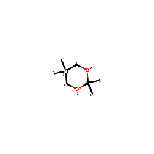 CC1(C)OC[Si](C)(C)CO1